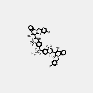 CS(=O)(=O)N(c1ccc2c(c1)S(=O)(=O)N=C(C1=C(O)C3C4CCC(C4)C3N(Cc3ccc(F)cn3)C1=O)N2)c1ccc2c(c1)S(=O)(=O)N=C(C1=C(O)C3C4CCC(C4)C3N(Cc3ccc(F)cn3)C1=O)N2